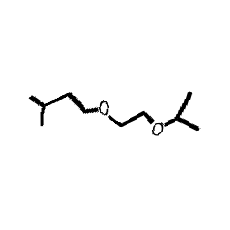 CC(C)CCOCCOC(C)C